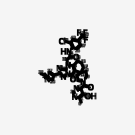 Cc1ncnc(C(=O)N2CCC3(CCCc4c3c(=O)n3nc(-c5cnn(C)c5)nc3n4CC(=O)Nc3ccc(C(F)(F)F)cc3Cl)CC2)c1O